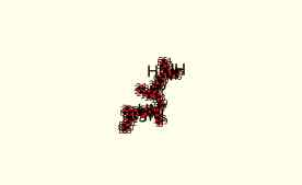 c1ccc(C2=NC(c3cccc(-c4ccc5c(c4)c4ccc(-c6ccccc6)cc4n5-c4ccc5c(c4)sc4cc(C6=NC(c7ccccc7)NC(c7ccccc7)N6)ccc45)c3)NC(c3ccc4c(c3)sc3cc(-n5c6ccccc6c6cc(-c7ccccc7)ccc65)ccc34)=N2)cc1